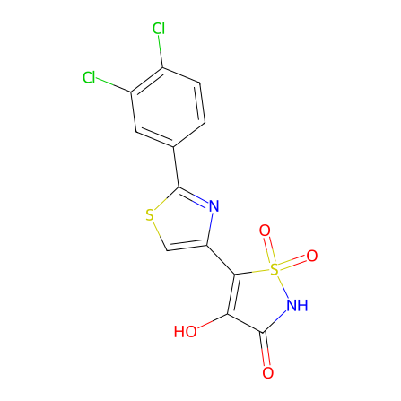 O=C1NS(=O)(=O)C(c2csc(-c3ccc(Cl)c(Cl)c3)n2)=C1O